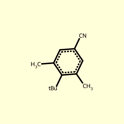 Cc1cc(C#N)cc(C)c1C(C)(C)C